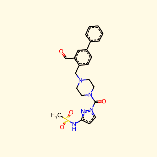 CS(=O)(=O)Nc1ccn(C(=O)N2CCN(Cc3ccc(-c4ccccc4)cc3C=O)CC2)n1